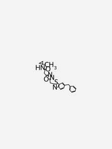 CC1(NC(=O)Cc2nnc(Cc3nc4ccc(Cc5ccccc5)cc4s3)o2)CC1